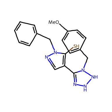 COc1ccc(CN2NNN=C2c2cnn(Cc3ccccc3)c2S)cc1